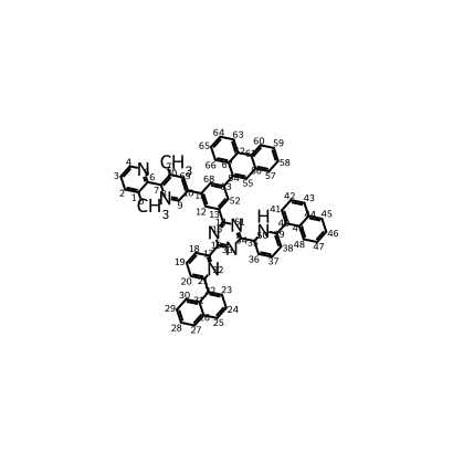 Cc1cccnc1-c1ncc(-c2cc(-c3nc(-c4cccc(-c5cccc6ccccc56)n4)nc(C4C=CC=C(c5cccc6ccccc56)N4)n3)cc(-c3cc4ccccc4c4ccccc34)c2)cc1C